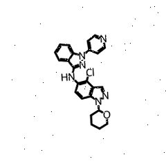 Clc1c(Nc2nn(-c3ccncc3)c3ccccc23)ccc2c1cnn2C1CCCCO1